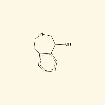 OC1CNCCc2ccccc21